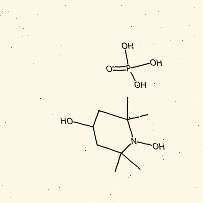 CC1(C)CC(O)CC(C)(C)N1O.O=P(O)(O)O